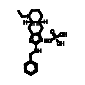 CCN1CCC[C@@H]2Cc3nc(NCc4ccccc4)sc3C[C@H]21.O=P(O)(O)O